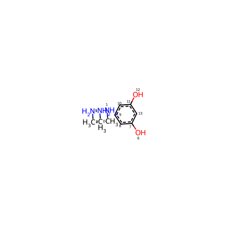 CN.CN.CN.Oc1cccc(O)c1